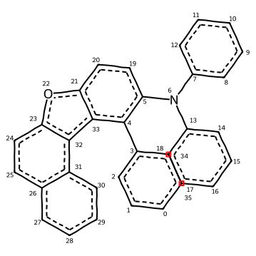 c1ccc(-c2c(N(c3ccccc3)c3ccccc3)ccc3oc4ccc5ccccc5c4c23)cc1